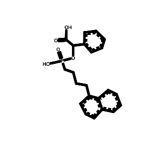 O=C(O)C(OP(=O)(O)CCCCc1cccc2ccccc12)c1ccccc1